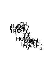 CC1(C)OB(C=C2C[C@@H](CO[Si](C)(C)C(C)(C)C)N(C(=O)O)C2)OC1(C)C